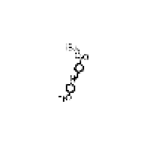 CCOc1ccc(N=Cc2ccc(C(=O)OCC(C)CC)cc2)cc1